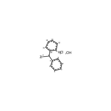 Cl.Cl.[Zr][CH](c1ccccc1)c1ccccc1